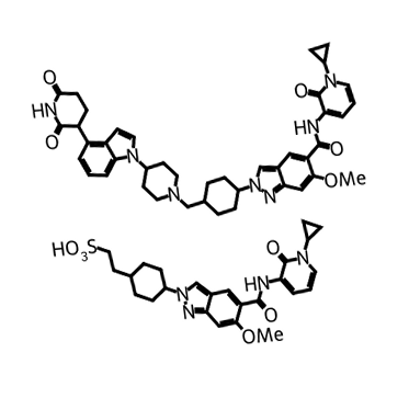 COc1cc2nn(C3CCC(CCS(=O)(=O)O)CC3)cc2cc1C(=O)Nc1cccn(C2CC2)c1=O.COc1cc2nn(C3CCC(CN4CCC(n5ccc6c(C7CCC(=O)NC7=O)cccc65)CC4)CC3)cc2cc1C(=O)Nc1cccn(C2CC2)c1=O